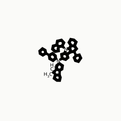 CC1(C)c2ccccc2-c2ccc(N(c3ccc(-c4ccccc4)cc3)c3ccc4c5c(-c6ccccc6)cc6ccccc6c5n(-c5cccc6ccccc56)c4c3)cc21